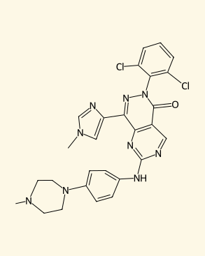 CN1CCN(c2ccc(Nc3ncc4c(=O)n(-c5c(Cl)cccc5Cl)nc(-c5cn(C)cn5)c4n3)cc2)CC1